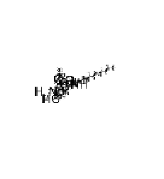 CCCCCCCCCCCCNC(=O)COc1ccc(O)c(N)c1CC(=O)OCC